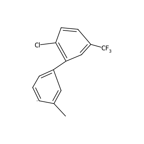 Cc1[c]ccc(-c2cc(C(F)(F)F)ccc2Cl)c1